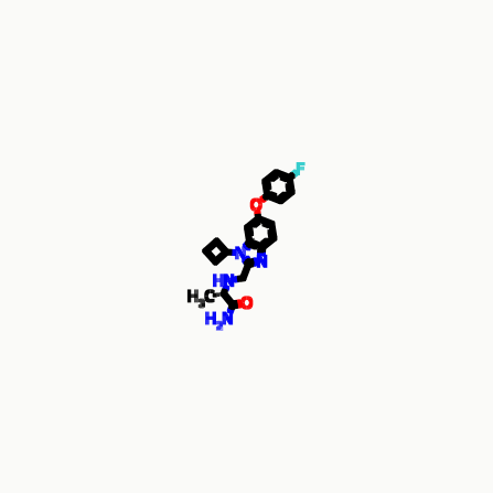 C[C@H](NCc1nc2ccc(Oc3ccc(F)cc3)cc2n1C1CCC1)C(N)=O